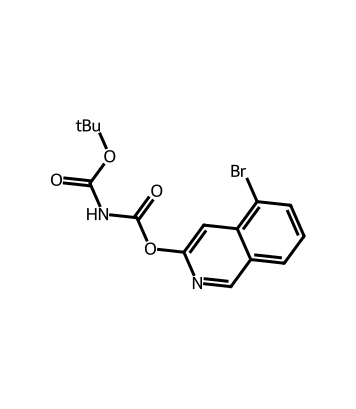 CC(C)(C)OC(=O)NC(=O)Oc1cc2c(Br)cccc2cn1